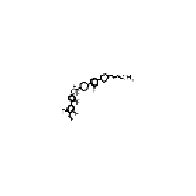 CCCCCC1CCC(c2ccc(C3CCC(C(F)(F)Oc4ccc(-c5cc(F)c(CF)c(F)c5)c(F)c4)CC3)c(F)c2)CC1